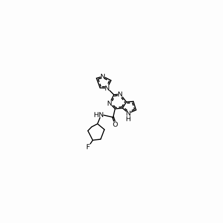 O=C(NC1CCC(F)CC1)c1nc(-n2ccnc2)nc2cc[nH]c12